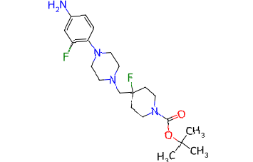 CC(C)(C)OC(=O)N1CCC(F)(CN2CCN(c3ccc(N)cc3F)CC2)CC1